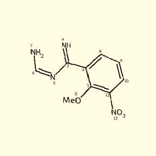 COc1c(C(=N)/N=C\N)cccc1[N+](=O)[O-]